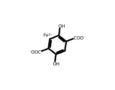 O=C([O-])c1cc(O)c(C(=O)[O-])cc1O.[Fe+2]